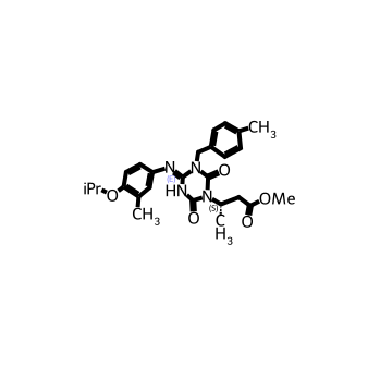 COC(=O)C[C@H](C)n1c(=O)[nH]/c(=N\c2ccc(OC(C)C)c(C)c2)n(Cc2ccc(C)cc2)c1=O